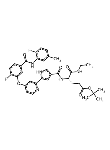 CCNC(=O)[C@H](CCC(=O)OC(C)(C)C)NC(=O)c1c[nH]c(-c2cc(Oc3cc(C(=O)Nc4cc(C)ccc4F)ccc3F)ccn2)c1